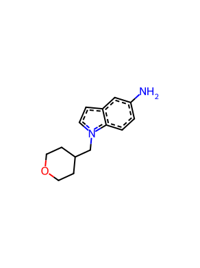 Nc1ccc2c(ccn2CC2CCOCC2)c1